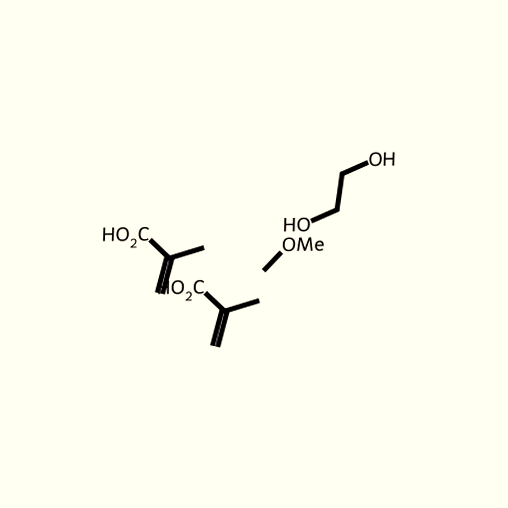 C=C(C)C(=O)O.C=C(C)C(=O)O.COC.OCCO